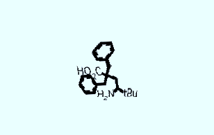 CC(C)(C)C(N)CC(Cc1ccccc1)(Cc1ccccc1)C(=O)O